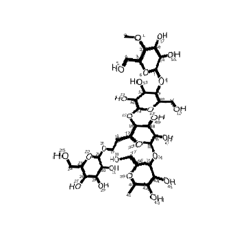 COC1C(CO)OC(OC2C(CO)OC(OC3C(CCOC4OC(CO)C(O)C(O)C4O)OC(OC4C(CO)OC(C)C(O)C4O)C(O)C3O)C(O)C2O)C(O)C1O